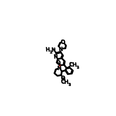 COC1CCCN(C=O)C1c1cccc(C)c1-c1ccc2nc(N)c(N3CCOCC3)cc2c1